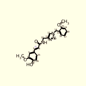 COc1cc(/C=C/C(=O)NCc2cn(Cc3ccccc3OC)nn2)ccc1O